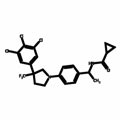 CC(NC(=O)C1CC1)c1ccc(N2CCC(c3cc(Cl)c(Cl)c(Cl)c3)(C(F)(F)F)C2)cc1